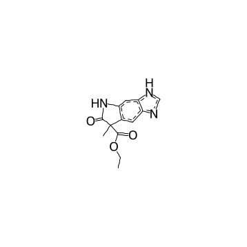 CCOC(=O)C1(C)C(=O)Nc2cc3[nH]cnc3cc21